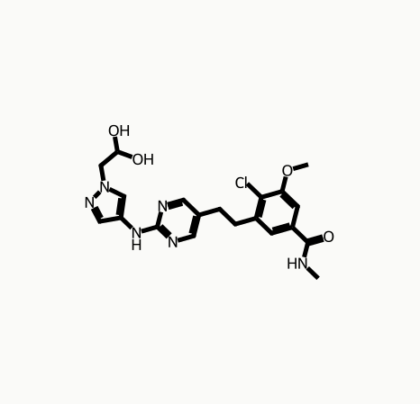 CNC(=O)c1cc(CCc2cnc(Nc3cnn(CC(O)O)c3)nc2)c(Cl)c(OC)c1